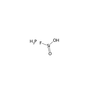 O=[Si](O)F.P